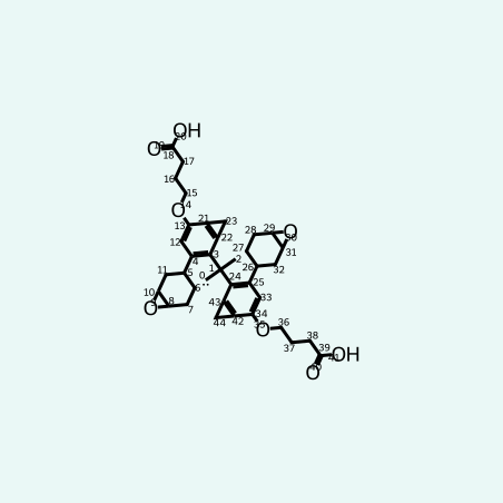 [CH]C(C)(c1c(C2CCC3OC3C2)cc(OCCCC(=O)O)c2c1C2)c1c(C2CCC3OC3C2)cc(OCCCC(=O)O)c2c1C2